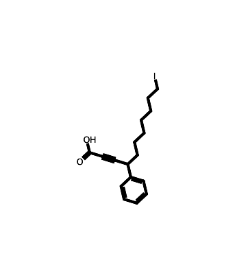 O=C(O)C#CC(CCCCCCCI)c1ccccc1